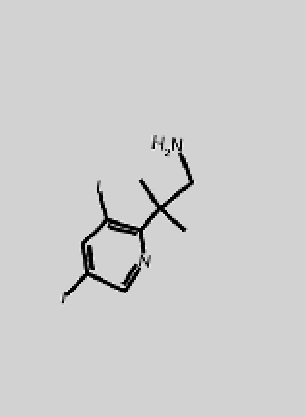 CC(C)(CN)c1ncc(I)cc1I